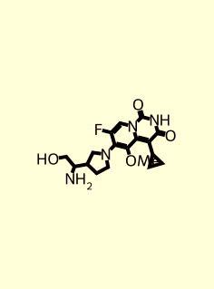 COc1c(N2CCC(C(N)CO)C2)c(F)cn2c(=O)[nH]c(=O)c(C3CC3)c12